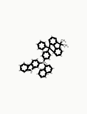 CC1(C)c2cccc3c2-c2c1cccc2C3(c1ccccc1)c1ccc(N(c2ccc3c(c2)sc2ccccc23)c2cccc3ccccc23)cc1